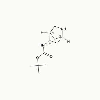 CC(C)(C)OC(=O)N[C@H]1C[C@H]2C[C@@H]1CN2